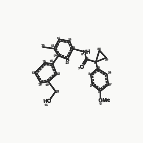 COc1ccc(C2(C(=O)Nc3ccc(C)c(-c4cccc(CO)c4)n3)CC2)cc1